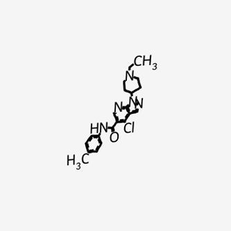 CCN1CCC(n2ncc3c(Cl)c(C(=O)Nc4ccc(C)cc4)cnc32)CC1